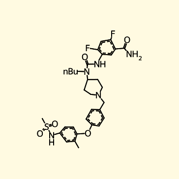 CCCCN(C(=O)Nc1cc(C(N)=O)c(F)cc1F)C1CCN(Cc2ccc(Oc3ccc(NS(C)(=O)=O)cc3C)cc2)CC1